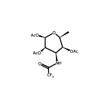 CC(=O)O[C@H]1O[C@@H](C)[C@@H](OC(C)=O)[C@@H](NC(=O)C(F)(F)F)[C@H]1OC(C)=O